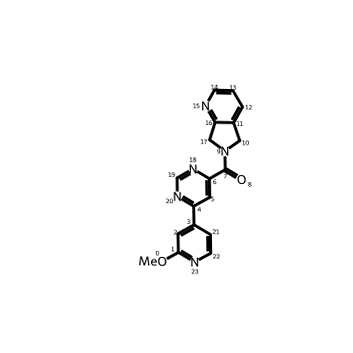 COc1cc(-c2cc(C(=O)N3Cc4cccnc4C3)ncn2)ccn1